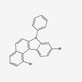 Brc1ccc2c3c4c(Br)cccc4ccc3n(-c3ccccc3)c2c1